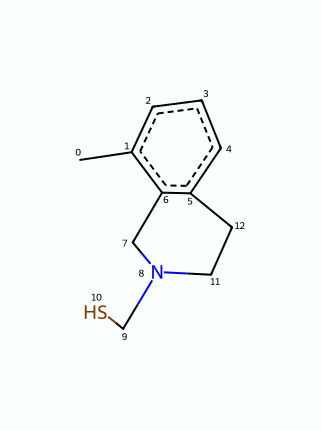 Cc1cccc2c1CN(CS)CC2